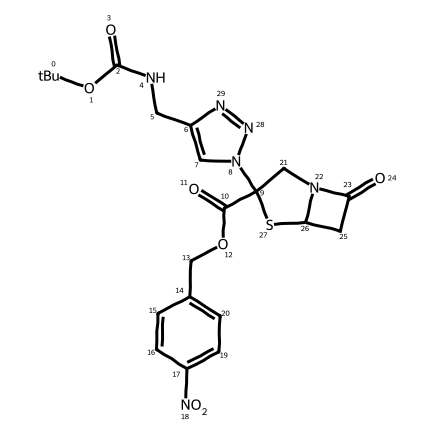 CC(C)(C)OC(=O)NCc1cn(C2(C(=O)OCc3ccc([N+](=O)[O-])cc3)CN3C(=O)CC3S2)nn1